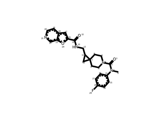 CN(C(=O)N1CCC2(CC1)CC2CNC(=O)c1cc2ccncc2o1)c1ccc(F)cc1